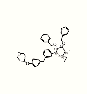 CC[C@H]1S[C@@H](c2cccc(Cc3ccc(OC4CCOCC4)cc3)c2)[C@H](OCc2ccccc2)[C@@H](OCc2ccccc2)[C@@H]1C